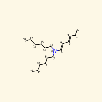 CCC=CC=CN(CCCCCC)CCCCCC